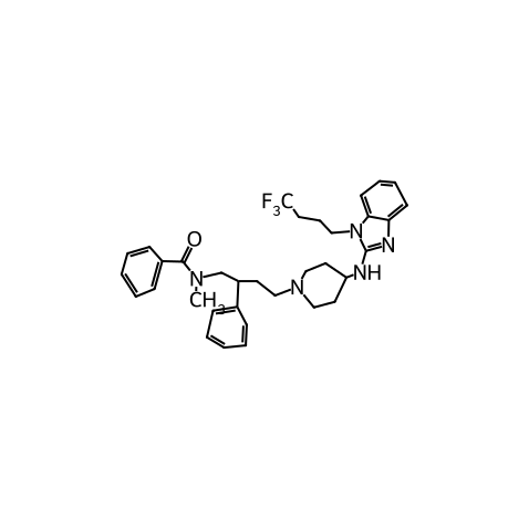 CN(CC(CCN1CCC(Nc2nc3ccccc3n2CCCC(F)(F)F)CC1)c1ccccc1)C(=O)c1ccccc1